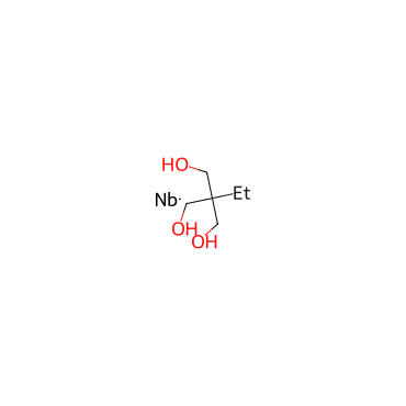 CCC(CO)(CO)CO.[Nb]